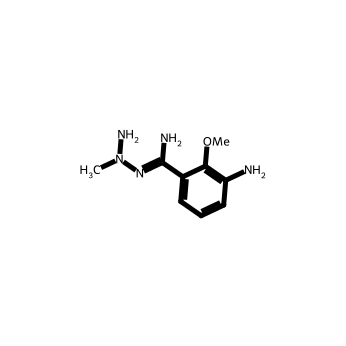 COc1c(N)cccc1/C(N)=N/N(C)N